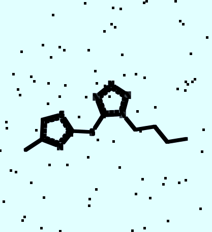 CCCCn1nnnc1Sc1nc(C)cs1